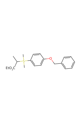 CCOC(=O)C(C)S(C)(C)c1ccc(OCc2ccccc2)cc1